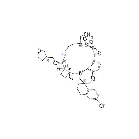 CC[C@@H]1CC/C=C/[C@H](OC[C@H]2CCOC2)[C@@H]2CC[C@H]2CN2C[C@@]3(CCCc4cc(Cl)ccc43)COc3ccc(cc32)C(=O)NS1(=O)=O